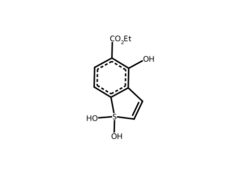 CCOC(=O)c1ccc2c(c1O)C=CS2(O)O